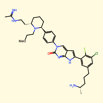 COCCN1[C@H](CCNC(C)=N)CCC[C@H]1c1ccc(-n2cc3cc(-c4cc(CCC[C@H](C)N)cc(Cl)c4F)[nH]c3nc2=O)cc1